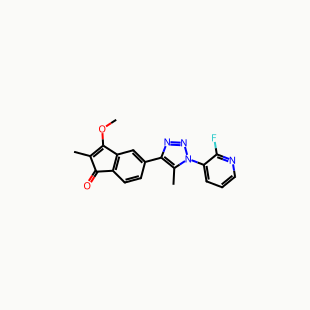 COC1=C(C)C(=O)c2ccc(-c3nnn(-c4cccnc4F)c3C)cc21